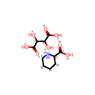 O=C(O)C(O)C(O)C(=O)O.O=C(O)C1CCCCN1